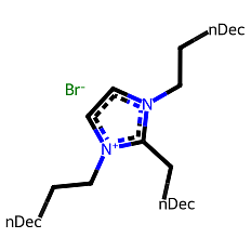 CCCCCCCCCCCCn1cc[n+](CCCCCCCCCCCC)c1CCCCCCCCCCC.[Br-]